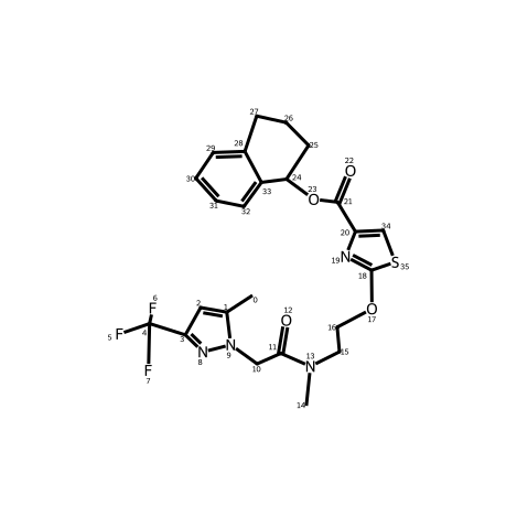 Cc1cc(C(F)(F)F)nn1CC(=O)N(C)CCOc1nc(C(=O)OC2CCCc3ccccc32)cs1